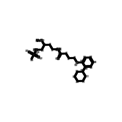 COC(CCNC(=O)CCCOc1ccccc1C1CCCCC1)CNS(C)(=O)=O